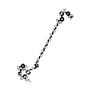 Cc1nc(Nc2ncc(C(=O)Nc3c(C)cccc3Cl)s2)cc(N2CCN(CCOCc3cn(CCOCCOCCOCCOCCOCCOCCOCCOCCOCCNC(=O)c4cccc(-c5cc(Nc6ccc(OC(F)(F)F)cc6)ncn5)c4)nn3)CC2)n1